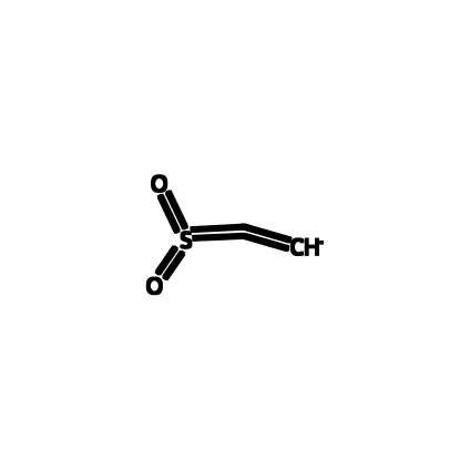 [CH]=C=S(=O)=O